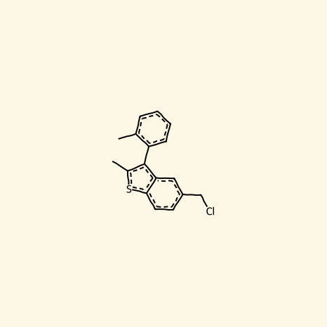 Cc1ccccc1-c1c(C)sc2ccc(CCl)cc12